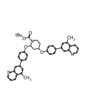 Cc1cc(-c2ccc(OC3CCN(C(=O)OC(C)(C)C)C(Oc4ccc(-c5cc(C)c6cccnc6c5)cc4)C3)cc2)cc2ncccc12